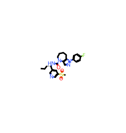 CCC[C@H](NC(=O)N1CCCCc2c1cnn2-c1ccc(F)cc1)c1cncc(S(C)(=O)=O)c1